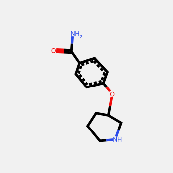 NC(=O)c1ccc(OC2CCCNC2)cc1